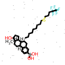 C[C@]12CC[C@@H]3c4ccc(B(O)O)cc4C[C@@H](CCCCCCCCCSCCCC(F)(F)C(F)(F)F)[C@H]3[C@@H]1CC[C@@H]2O